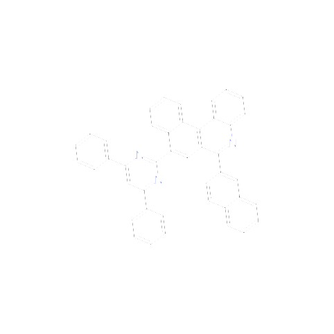 c1ccc(-c2cc(-c3ccccc3)nc(-c3cc4c(-c5ccc6ccccc6c5)nc5ccccc5c4c4ccccc34)n2)cc1